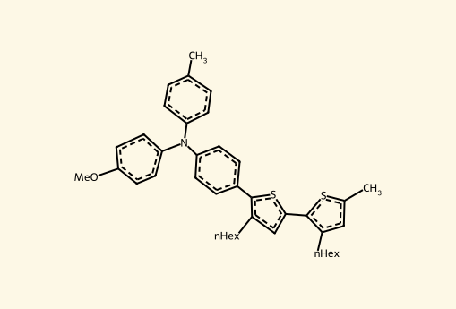 CCCCCCc1cc(-c2sc(C)cc2CCCCCC)sc1-c1ccc(N(c2ccc(C)cc2)c2ccc(OC)cc2)cc1